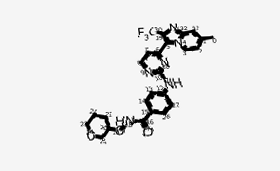 Cc1ccn2c(-c3ccnc(Nc4ccc(C(=O)NOC5CCCOC5)cc4)n3)c(C(F)(F)F)nc2c1